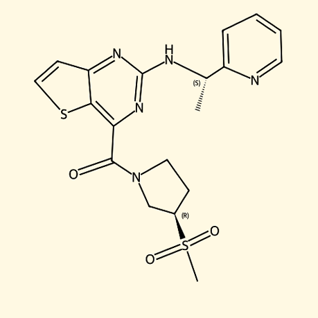 C[C@H](Nc1nc(C(=O)N2CC[C@@H](S(C)(=O)=O)C2)c2sccc2n1)c1ccccn1